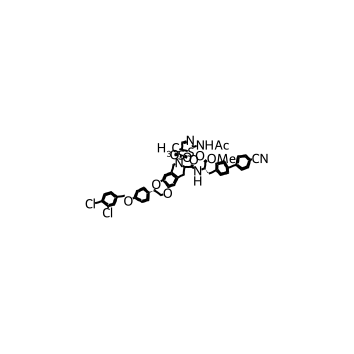 COC(=O)[C@H](Cc1ccc(-c2ccc(C#N)cc2)cc1)NC(=O)C1Cc2cc3c(cc2CN1S(=O)(=O)C1(C)C=NC(NC(C)=O)S1)O[C@@H](c1ccc(OCc2ccc(Cl)c(Cl)c2)cc1)CO3